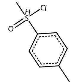 Cc1ccc([SH](C)(=O)Cl)cc1